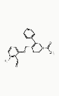 CC(=O)N1CCC(COc2cccc(C)c2C=O)=C(c2ccccc2)C1